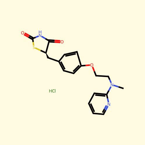 CN(CCOc1ccc(C[C@H]2SC(=O)NC2=O)cc1)c1ccccn1.Cl